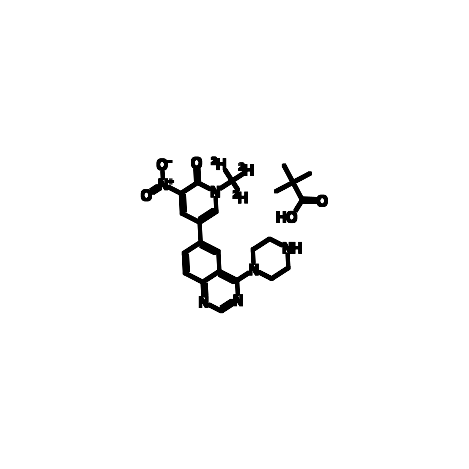 CC(C)(C)C(=O)O.[2H]C([2H])([2H])n1cc(-c2ccc3ncnc(N4CCNCC4)c3c2)cc([N+](=O)[O-])c1=O